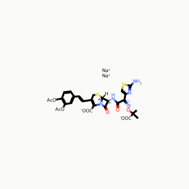 CC(=O)Oc1ccc(C=CC2=C(C(=O)[O-])N3C(=O)[C@@H](NC(=O)/C(=N\OC(C)(C)C(=O)[O-])c4csc(N)n4)[C@H]3SC2)cc1OC(C)=O.[Na+].[Na+]